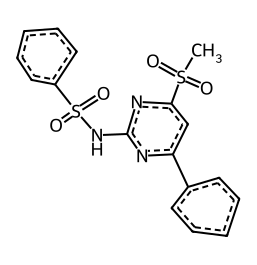 CS(=O)(=O)c1cc(-c2ccccc2)nc(NS(=O)(=O)c2ccccc2)n1